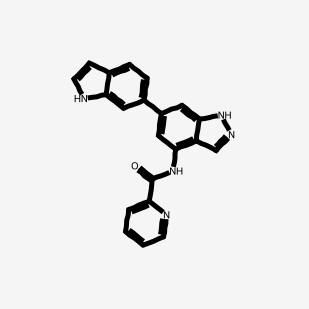 O=C(Nc1cc(-c2ccc3cc[nH]c3c2)cc2[nH]ncc12)c1ccccn1